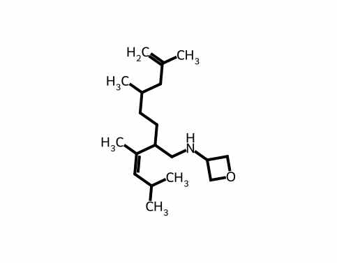 C=C(C)CC(C)CCC(CNC1COC1)/C(C)=C\C(C)C